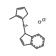 CC1=[C]([Ti+2][CH]2C=Cc3ccccc32)CC=C1.[Cl-].[Cl-]